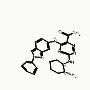 NC(=O)c1nnc(N[C@@H]2CCCC[C@@H]2N)nc1Nc1ccc2cn(-c3ccccc3)nc2c1